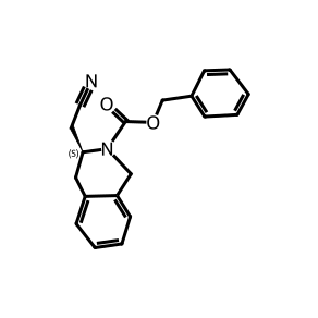 N#CC[C@@H]1Cc2ccccc2CN1C(=O)OCc1ccccc1